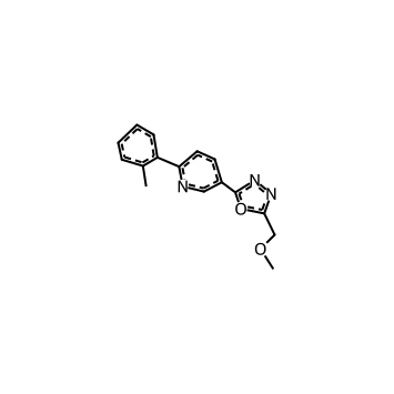 COCc1nnc(-c2ccc(-c3ccccc3C)nc2)o1